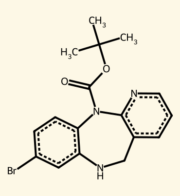 CC(C)(C)OC(=O)N1c2ccc(Br)cc2NCc2cccnc21